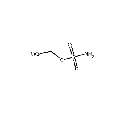 NS(=O)(=O)OCO